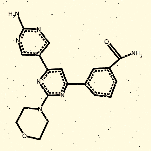 NC(=O)c1cccc(-c2cc(-c3cnc(N)nc3)nc(N3CCOCC3)n2)c1